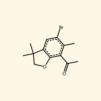 CC(=O)c1c(C)c(Br)cc2c1OCC2(C)C